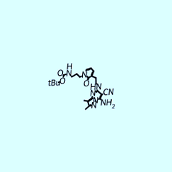 Cc1nn2c(N)c(C#N)c(NCCc3cccn(CCCNC(=O)OC(C)(C)C)c3=O)nc2c1C